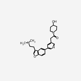 CN(C)CCc1coc2ccc(-c3cncc(CC(=O)N4CCC(O)CC4)c3)cc12